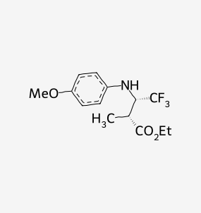 CCOC(=O)[C@H](C)[C@H](Nc1ccc(OC)cc1)C(F)(F)F